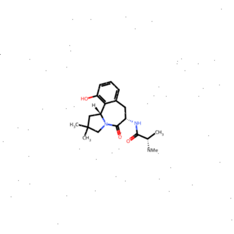 CN[C@@H](C)C(=O)N[C@H]1Cc2cccc(O)c2[C@H]2CC(C)(C)CN2C1=O